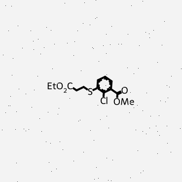 CCOC(=O)CCSc1cccc(C(=O)OC)c1Cl